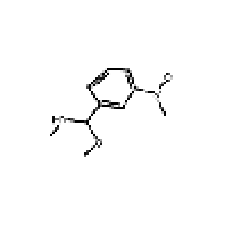 CNC(OC)c1cccc([S+](C)[O-])c1